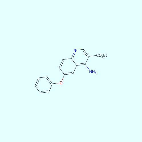 CCOC(=O)c1cnc2ccc(Oc3ccccc3)cc2c1N